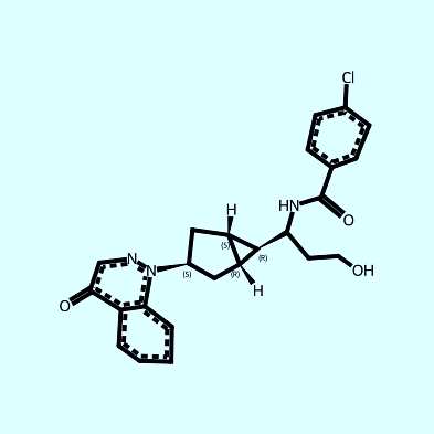 O=C(NC(CCO)[C@H]1[C@@H]2C[C@@H](n3ncc(=O)c4ccccc43)C[C@@H]21)c1ccc(Cl)cc1